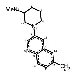 CNC1CCCN(c2cnc3ccc(C)cc3c2)C1